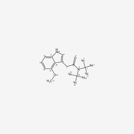 [2H]C([2H])([2H])N(C(=O)Cc1c[nH]c2cccc(OC)c12)C([2H])([2H])[2H]